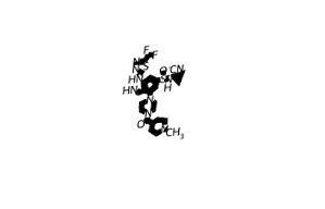 CN1CCC(C(=O)N2CCN(c3cc([S+]([O-])NC4(C#N)CC4)cc(Nc4nnc(C(F)F)s4)c3C=N)CC2)CC1